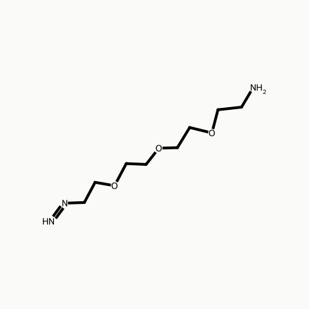 N=NCCOCCOCCOCCN